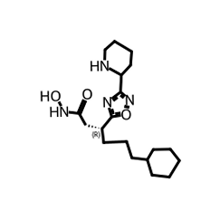 O=C(C[C@@H](CCCC1CCCCC1)c1nc(C2CCCCN2)no1)NO